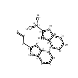 C=CCc1nc2ccccc2s1.O=[N+]([O-])c1nc2ccccc2s1